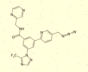 [N-]=[N+]=NCc1ccc(-c2cc(C(=O)NCc3cnccn3)cc(-n3ncnc3C(F)(F)F)c2)nc1